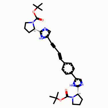 CC(C)(C)OC(=O)N1CCC[C@H]1c1ncc(C#CC#Cc2ccc(-c3cnc([C@@H]4CCCN4C(=O)OC(C)(C)C)[nH]3)cc2)[nH]1